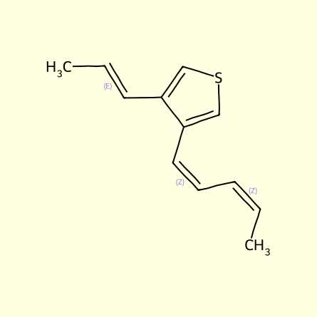 C/C=C\C=C/c1cscc1/C=C/C